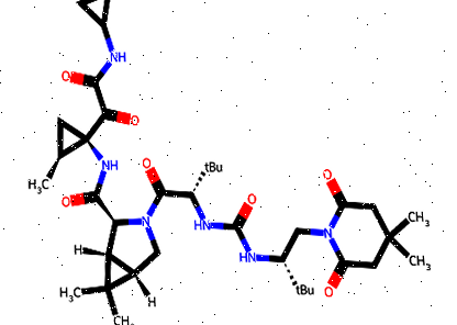 C[C@H]1C[C@]1(NC(=O)[C@@H]1[C@@H]2[C@H](CN1C(=O)[C@@H](NC(=O)N[C@H](CN1C(=O)CC(C)(C)CC1=O)C(C)(C)C)C(C)(C)C)C2(C)C)C(=O)C(=O)NC1CC1